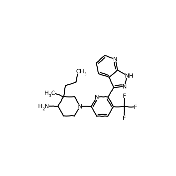 CCCC1(C)CN(c2ccc(C(F)(F)F)c(-c3n[nH]c4ncccc34)n2)CCC1N